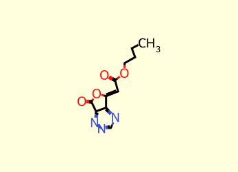 CCCCOC(=O)C=C1OC(=O)c2nncnc21